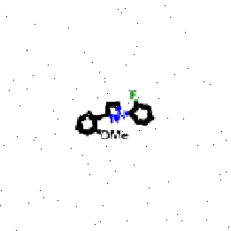 COc1ccccc1-c1ccn(-c2ccccc2F)n1